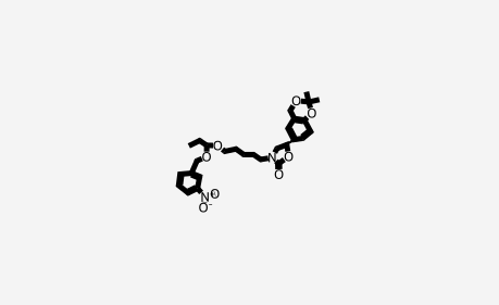 CCC(OCCCCCN1C[C@@H](c2ccc3c(c2)COC(C)(C)O3)OC1=O)OCc1cccc([N+](=O)[O-])c1